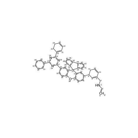 C=CNCC1=CC(c2ccc3c(c2)C2(c4cc(-c5nc(C6=CC=CCC6)nc(-c6ccccc6)n5)ccc4O3)c3ccccc3-c3ccccc32)CC=C1